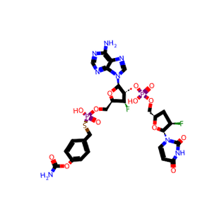 NC(=O)Oc1ccc(CSP(=O)(O)OC[C@H]2O[C@@H](n3cnc4c(N)ncnc43)[C@H](OP(=O)(O)OC[C@@H]3C[C@@H](F)[C@H](n4ccc(=O)[nH]c4=O)O3)[C@@H]2F)cc1